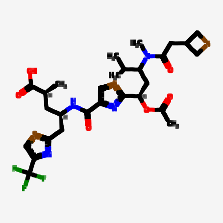 CC(=O)O[C@H](CC(C(C)C)N(C)C(=O)CC1CSC1)c1nc(C(=O)N[C@@H](Cc2nc(C(F)(F)F)cs2)C[C@H](C)C(=O)O)cs1